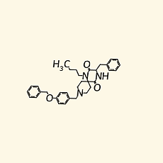 CCCCN1C(=O)C(Cc2ccccc2)NC(=O)C12CCN(Cc1ccc(OCc3ccccc3)cc1)CC2